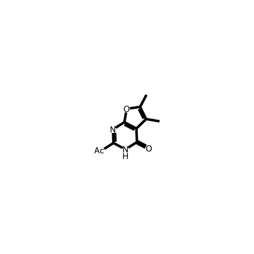 CC(=O)c1nc2oc(C)c(C)c2c(=O)[nH]1